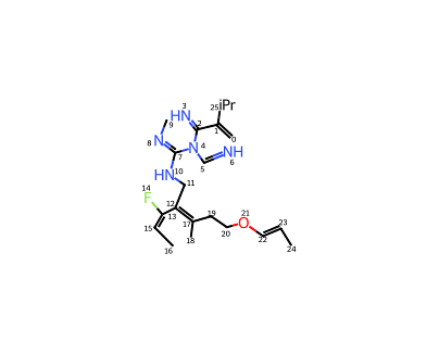 C=C(C(=N)N(C=N)/C(=N\C)NCC(/C(F)=C\C)=C(/C)CCO/C=C/C)C(C)C